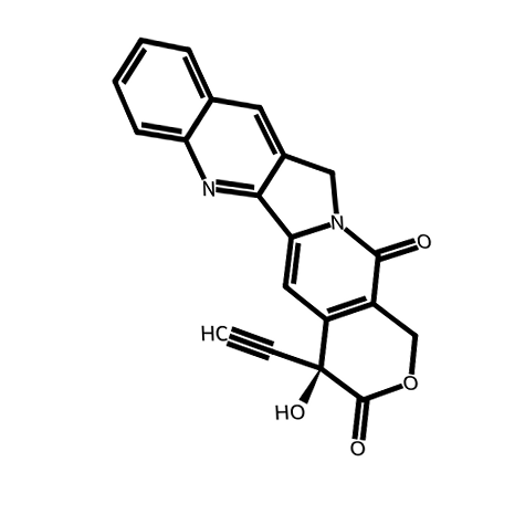 C#C[C@@]1(O)C(=O)OCc2c1cc1n(c2=O)Cc2cc3ccccc3nc2-1